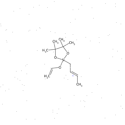 C=CO[Si]1(C/C=C/C)OC(C)(C)C(C)(C)O1